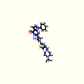 CC(C)N1CCN(Cc2csc(N3CC(c4nc5c(cnn5C5CCCCC5)c(=O)[nH]4)C3)n2)CC1